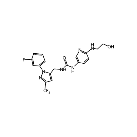 O=C(NCc1cc(C(F)(F)F)nn1-c1cccc(F)c1)Nc1ccc(NCCO)nc1